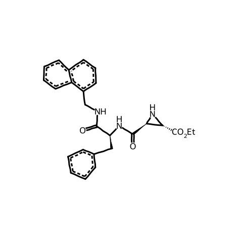 CCOC(=O)[C@H]1N[C@@H]1C(=O)N[C@@H](Cc1ccccc1)C(=O)NCc1cccc2ccccc12